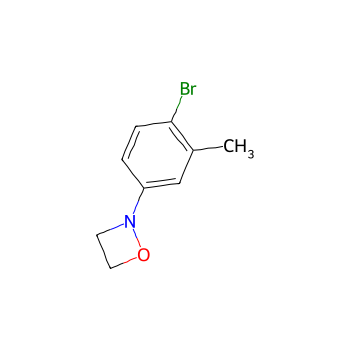 Cc1cc(N2CCO2)ccc1Br